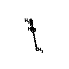 CCCCCCCCCCCCCCCCCOC(=O)NCCCOCCOC